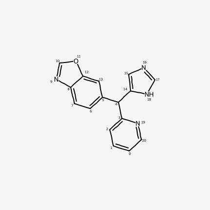 c1ccc(C(c2ccc3ncoc3c2)c2cnc[nH]2)nc1